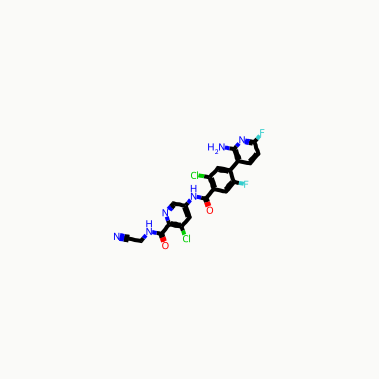 N#CCNC(=O)c1ncc(NC(=O)c2cc(F)c(-c3ccc(F)nc3N)cc2Cl)cc1Cl